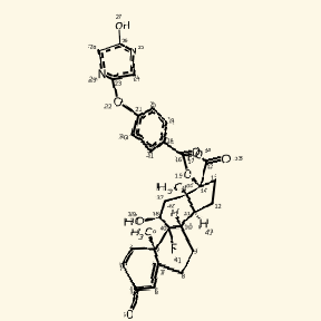 C[C@]12C=CC(=O)C=C1CC[C@H]1[C@@H]3CC[C@@](OC(=O)c4ccc(Oc5cnc(O)cn5)cc4)(C(=O)O)[C@@]3(C)C[C@H](O)C12F